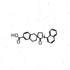 O=C(O)c1ccc2c(c1)CC[C@]1(CCN(c3cccc4ccccc34)C1=O)C2